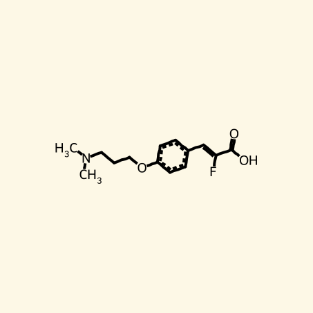 CN(C)CCCOc1ccc(C=C(F)C(=O)O)cc1